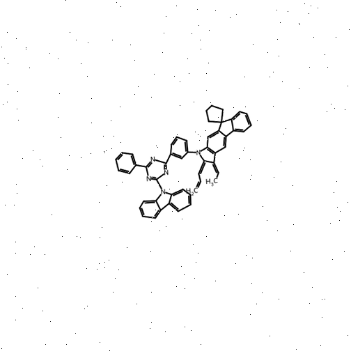 C=C/C=c1\c(=C/C)c2cc3c(cc2n1-c1cccc(-c2nc(-c4ccccc4)nc(-n4c5ccccc5c5ccccc54)n2)c1)C1(CCCC1)c1ccccc1-3